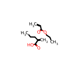 C=C(CCC)C(=O)O.C=CC(=O)OCCC